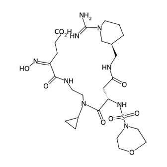 N=C(N)N1CCC[C@@H](CNC(=O)C[C@H](NS(=O)(=O)N2CCOCC2)C(=O)N(CCNC(=O)/C(CCC(=O)O)=N\O)C2CC2)C1